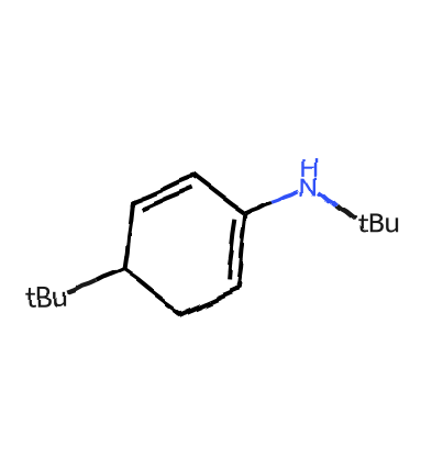 CC(C)(C)NC1=CCC(C(C)(C)C)C=C1